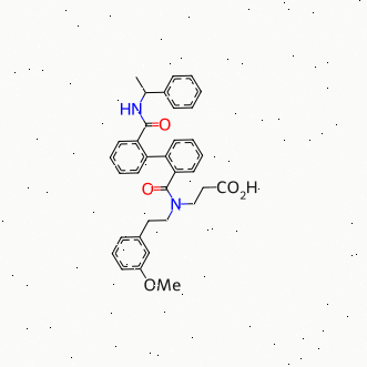 COc1cccc(CCN(CCC(=O)O)C(=O)c2ccccc2-c2ccccc2C(=O)NC(C)c2ccccc2)c1